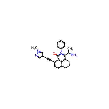 CC(N)c1c2c3c(ccc(C#Cc4cnn(C)c4)c3c(=O)n1-c1ccccc1)CCC2